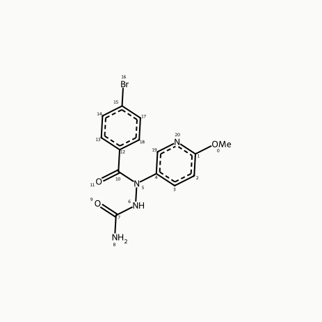 COc1ccc(N(NC(N)=O)C(=O)c2ccc(Br)cc2)cn1